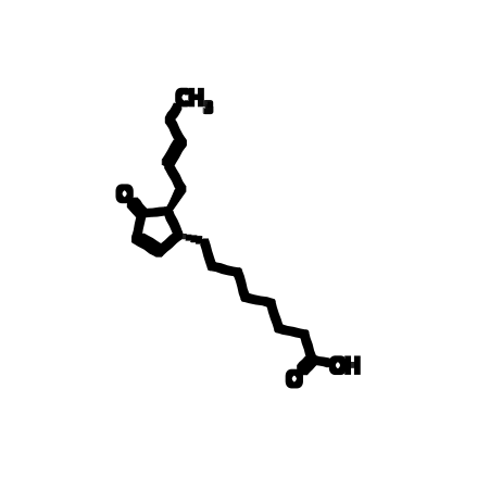 CC/C=C/C[C@@H]1C(=O)C=C[C@H]1CCCCCCCC(=O)O